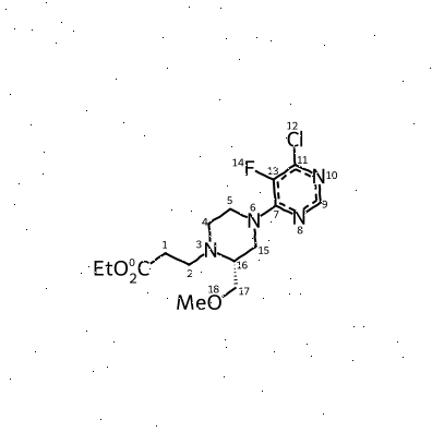 CCOC(=O)CCN1CCN(c2ncnc(Cl)c2F)C[C@@H]1COC